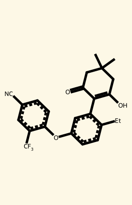 CCc1ccc(Oc2ccc(C#N)cc2C(F)(F)F)cc1C1=C(O)CC(C)(C)CC1=O